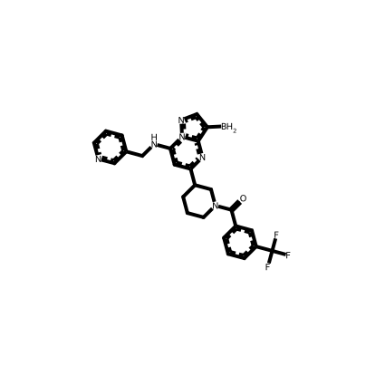 Bc1cnn2c(NCc3cccnc3)cc(C3CCCN(C(=O)c4cccc(C(F)(F)F)c4)C3)nc12